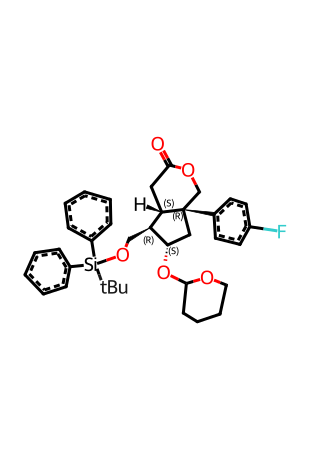 CC(C)(C)[Si](OC[C@@H]1[C@@H](OC2CCCCO2)C[C@@]2(c3ccc(F)cc3)COC(=O)C[C@@H]12)(c1ccccc1)c1ccccc1